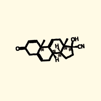 C[C@]12C=CC(=O)CC1=CC[C@@H]1C2=CC[C@@]2(C)[C@H]1CC[C@]2(O)C#N